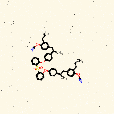 C=CCc1cc(CC(C)=C2C=CC(Oc3ccccc3S(=O)(=O)c3ccccc3OC3=CCC(=C(C)Cc4ccc(OC#N)c(CC=C)c4)C=C3)=CC2)ccc1OC#N